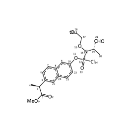 COC(=O)[C@@H](C)c1ccc2cc(OP(=O)(Cl)N(OCC(C)(C)C)[C@@H](C)C=O)ccc2c1